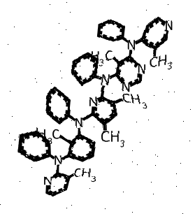 Cc1cnccc1N(c1ccccc1)c1ncnc(N(c2ccccc2)c2nc(N(c3ccccc3)c3cccc(N(c4ccccc4)c4ncccc4C)c3C)c(C)cc2C)c1C